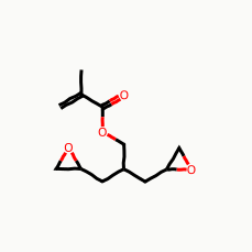 C=C(C)C(=O)OCC(CC1CO1)CC1CO1